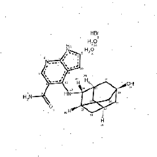 Br.NC(=O)c1cnc2[nH]ccc2c1N[C@@H]1[C@@H]2C[C@@H]3C[C@H]1C[C@@](O)(C3)C2.O.O